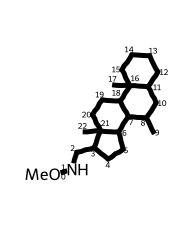 CONCC1CCC2C3C(C)CC4CCCCC4(C)C3CCC12C